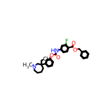 CCC1(c2cccc(OC(=O)Nc3ccc(C(=O)OCc4ccccc4)c(F)c3)c2)CCCCN(C)C1